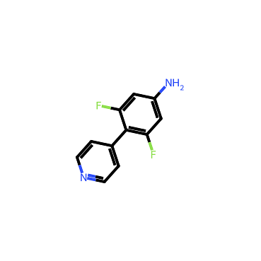 Nc1cc(F)c(-c2ccncc2)c(F)c1